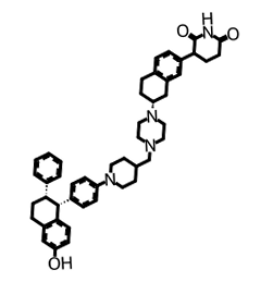 O=C1CCC(c2ccc3c(c2)C[C@H](N2CCN(CC4CCN(c5ccc([C@@H]6c7ccc(O)cc7CC[C@@H]6c6ccccc6)cc5)CC4)CC2)CC3)C(=O)N1